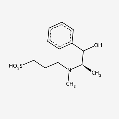 C[C@H](C(O)c1ccccc1)N(C)CCCS(=O)(=O)O